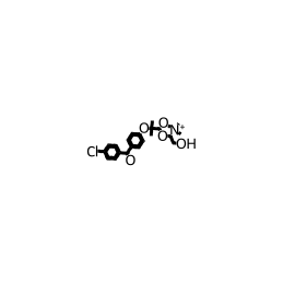 CC(C)(Oc1ccc(C(=O)c2ccc(Cl)cc2)cc1)C(=O)OC(CO)[N+](C)(C)C